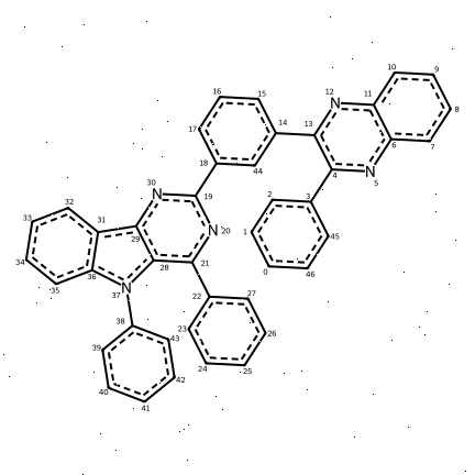 c1ccc(-c2nc3ccccc3nc2-c2cccc(-c3nc(-c4ccccc4)c4c(n3)c3ccccc3n4-c3ccccc3)c2)cc1